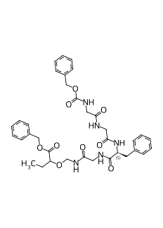 CCC(OCNC(=O)CNC(=O)[C@H](Cc1ccccc1)NC(=O)CNC(=O)CNC(=O)OCc1ccccc1)C(=O)OCc1ccccc1